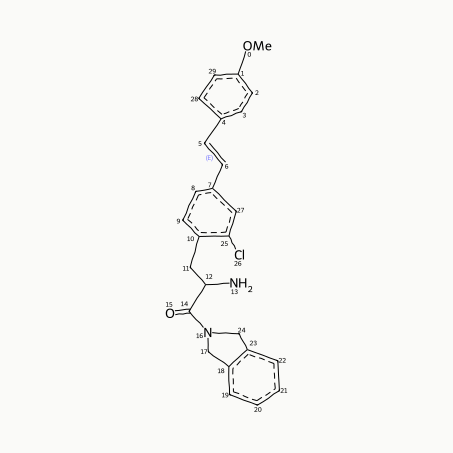 COc1ccc(/C=C/c2ccc(CC(N)C(=O)N3Cc4ccccc4C3)c(Cl)c2)cc1